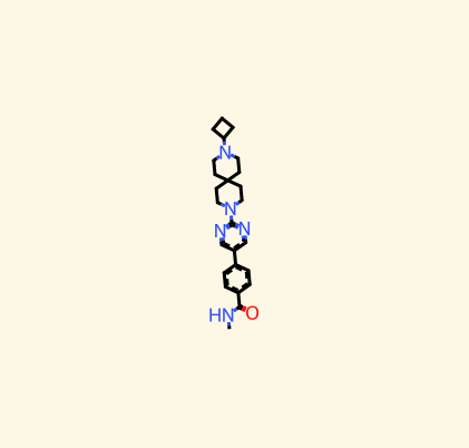 CNC(=O)c1ccc(-c2cnc(N3CCC4(CC3)CCN(C3CCC3)CC4)nc2)cc1